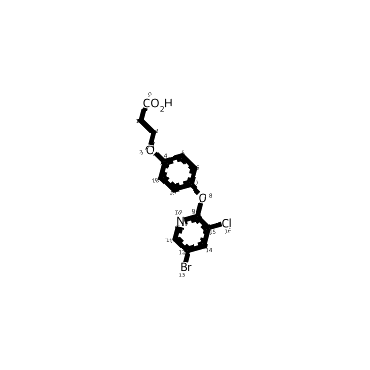 O=C(O)CCOc1ccc(Oc2ncc(Br)cc2Cl)cc1